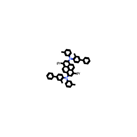 Cc1cccc(N(c2ccc(-c3ccccc3)cc2C)c2cc(C(C)C)c3ccc4c(N(c5cccc(C)c5)c5ccc(-c6ccccc6)cc5C)cc(C(C)C)c5ccc2c3c54)c1